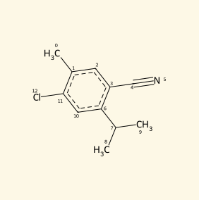 Cc1cc(C#N)c(C(C)C)cc1Cl